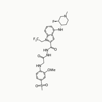 COc1cc(S(C)(=O)=O)ccc1NCC(=O)NNC(=O)c1cc2c(N[C@H]3CCN(C)C[C@@H]3F)cccc2n1CC(F)(F)F